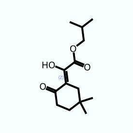 CC(C)COC(=O)/C(O)=C1\CC(C)(C)CCC1=O